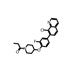 CCC(=O)N1CCC(Oc2ccc(-c3ccc4cccnc4c3Cl)cc2F)CC1